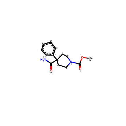 CC(C)(C)OC(=O)N1CCC(C(N)=O)(c2ccccc2)CC1